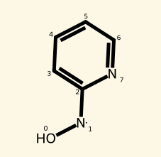 O[N]c1ccccn1